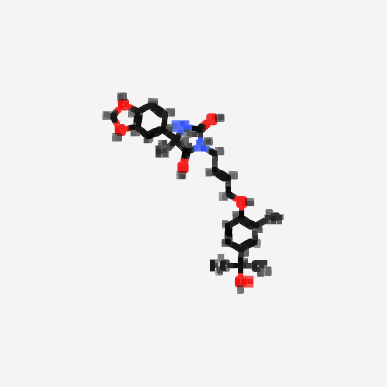 CCCc1cc(C(O)(C(F)(F)F)C(F)(F)F)ccc1OCC=CCN1C(=O)NC(CC)(c2ccc3c(c2)OCO3)C1=O